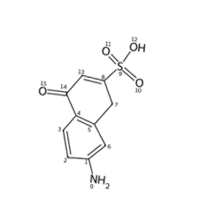 Nc1ccc2c(c1)CC(S(=O)(=O)O)=CC2=O